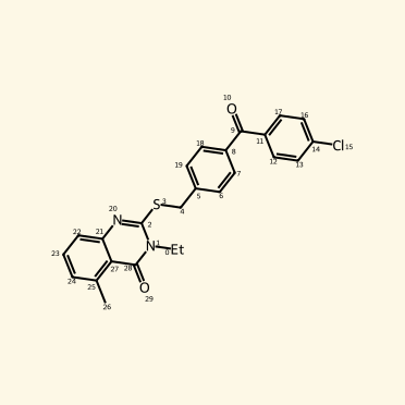 CCn1c(SCc2ccc(C(=O)c3ccc(Cl)cc3)cc2)nc2cccc(C)c2c1=O